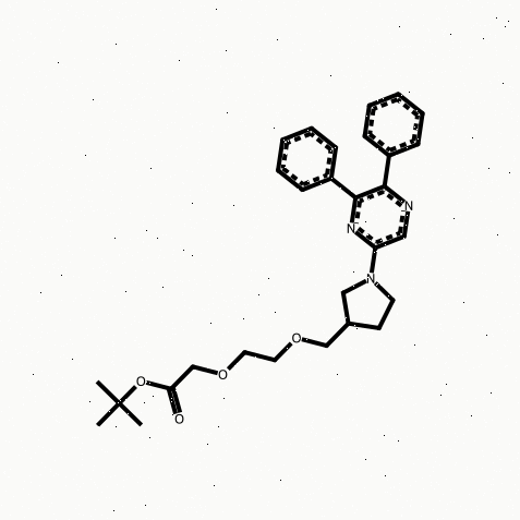 CC(C)(C)OC(=O)COCCOCC1CCN(c2cnc(-c3ccccc3)c(-c3ccccc3)n2)C1